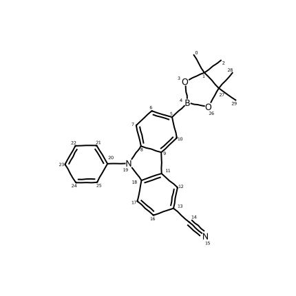 CC1(C)OB(c2ccc3c(c2)c2cc(C#N)ccc2n3-c2ccccc2)OC1(C)C